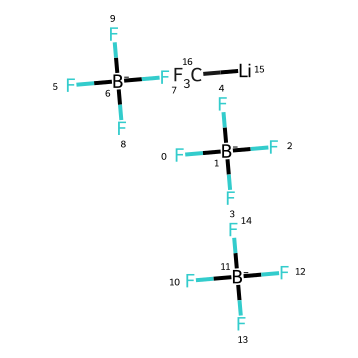 F[B-](F)(F)F.F[B-](F)(F)F.F[B-](F)(F)F.[Li][C](F)(F)F